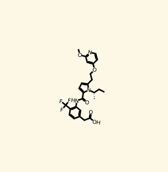 CC[C@H](C)n1c(CCOc2ccnc(OC)c2)ccc1C(=O)Nc1cc(CC(=O)O)ccc1C(F)(F)F